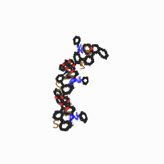 C1=C(c2ccc(N(c3ccccc3)c3ccccc3)c3c2sc2ccc4c(sc5ccc6ccccc6c54)c23)c2ccccc2C2c3ccc4sc5c(-c6cccc7c6ccc6sc8c(ccc9sc%10cccc(N(c%11ccccc%11)c%11ccc(-c%12ccc%13ccccc%13c%12)cc%11)c%10c98)c67)ccc(N(c6ccccc6)c6ccc(-c7cccc8ccccc78)cc6)c5c4c3SC12